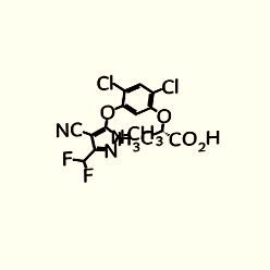 C[C@H](Oc1cc(Oc2c(C#N)c(C(F)F)nn2C)c(Cl)cc1Cl)C(=O)O